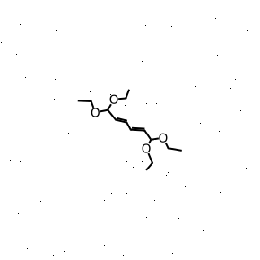 CCOC(C=CC=CC(OCC)OCC)OCC